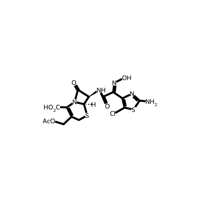 CC(=O)OCC1=C(C(=O)O)N2C(=O)[C@@H](NC(=O)C(=NO)c3nc(N)sc3Cl)[C@H]2SC1